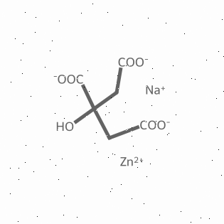 O=C([O-])CC(O)(CC(=O)[O-])C(=O)[O-].[Na+].[Zn+2]